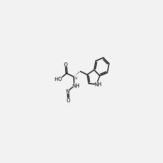 O=NN[C@@H](Cc1c[nH]c2ccccc12)C(=O)O